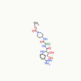 CCOC(=O)N1CCC(NC(=O)CNC(=O)C(Nc2cccc(C(=N)N)c2)C(O)CO)CC1.Cl